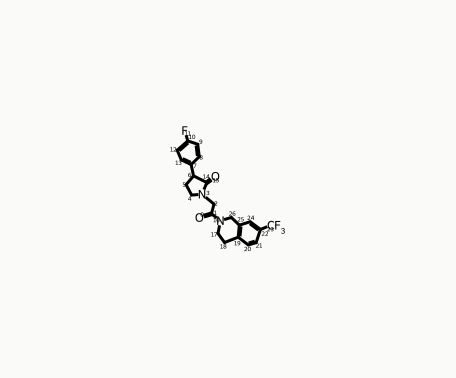 O=C(CN1CCC(c2ccc(F)cc2)C1=O)N1CCc2ccc(C(F)(F)F)cc2C1